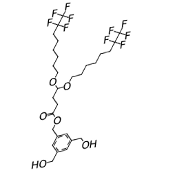 O=C(CCC(OCCCCCCC(F)(F)C(F)(F)F)OCCCCCCC(F)(F)C(F)(F)F)OCc1cc(CO)cc(CO)c1